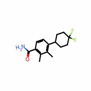 Cc1c(C(N)=O)ccc(C2CCC(F)(F)CC2)c1C